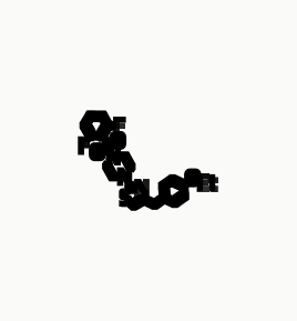 CCOc1ccc(Cc2csc(N3CCN(S(=O)(=O)c4c(F)cccc4F)CC3)n2)cc1